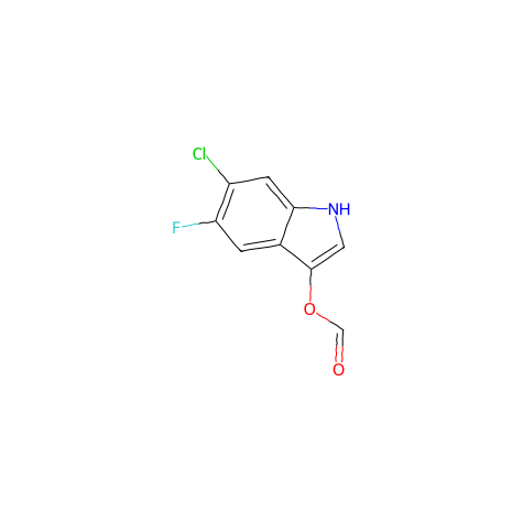 O=COc1c[nH]c2cc(Cl)c(F)cc12